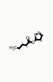 CCCCC(=O)OC1CCSS1